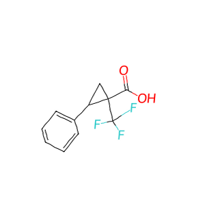 O=C(O)C1(C(F)(F)F)CC1c1ccccc1